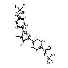 Cc1c(F)c(C2CCN(C(=O)OC(C)(C)C)CC2)nn1-c1ccc(OC(F)(F)F)cc1